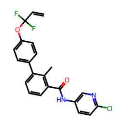 C=CC(F)(F)Oc1ccc(-c2cccc(C(=O)Nc3ccc(Cl)nc3)c2C)cc1